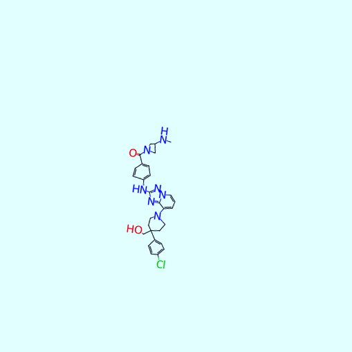 CNC1CN(C(=O)c2ccc(Nc3nc4c(N5CCC(CO)(c6ccc(Cl)cc6)CC5)cccn4n3)cc2)C1